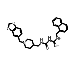 N=C(NCc1cccc2ccccc12)NC(=O)NCC1CCN(Cc2ccc3c(c2)OCO3)CC1